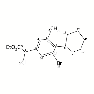 CCOC(=O)C(Cl)c1cc(C)c(C2CCCCC2)c(Br)c1